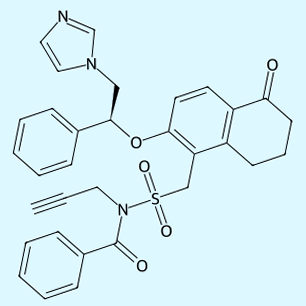 C#CCN(C(=O)c1ccccc1)S(=O)(=O)Cc1c(O[C@H](Cn2ccnc2)c2ccccc2)ccc2c1CCCC2=O